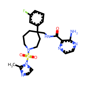 Cc1nccn1S(=O)(=O)N1CCCC(CNC(=O)c2nccnc2N)(c2cccc(F)c2)CC1